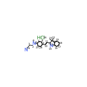 CN(CCC#N)c1ccc(C=CC2N(C)c3ccccc3C2(C)C)cc1.Cl